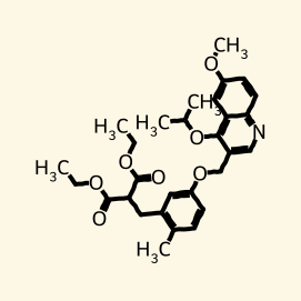 CCOC(=O)C(Cc1cc(OCc2cnc3ccc(OC)cc3c2OC(C)C)ccc1C)C(=O)OCC